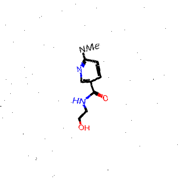 CNc1ccc(C(=O)NCCO)cn1